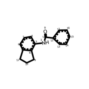 O=C(Nc1cccc2c1CCC2)c1ccccc1